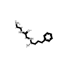 [2H][C@@H](CCCc1ccccc1)NCC(=O)NCCN